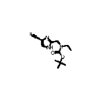 CCN(Cc1nc(C#N)c[nH]1)C(=O)OC(C)(C)C